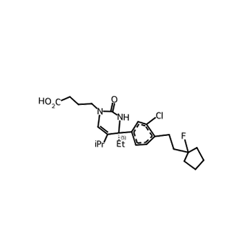 CC[C@@]1(c2ccc(CCC3(F)CCCC3)c(Cl)c2)NC(=O)N(CCCC(=O)O)C=C1C(C)C